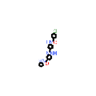 O=C(Nc1ccc(-c2nc3cc(C(=O)NC4CCCC4)ccc3[nH]2)cc1)c1ccc(Cl)cc1